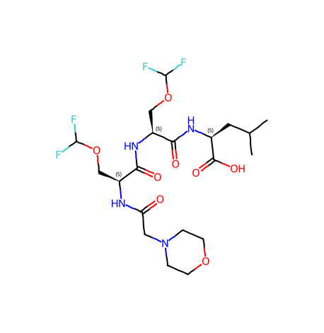 CC(C)C[C@H](NC(=O)[C@H](COC(F)F)NC(=O)[C@H](COC(F)F)NC(=O)CN1CCOCC1)C(=O)O